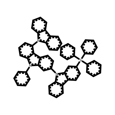 c1ccc(-n2c3cc(-n4c5ccccc5c5ccc([Si](c6ccccc6)(c6ccccc6)c6ccccc6)cc54)ccc3c3c(-n4c5ccccc5c5ccccc54)cccc32)cc1